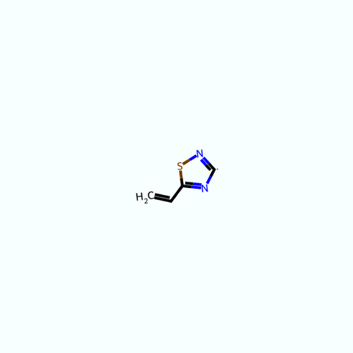 C=Cc1n[c]ns1